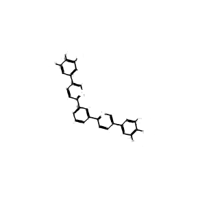 Cc1cc(-c2ccc(-c3cccc(-c4ccc(-c5cc(C)c(C)c(C)c5)cn4)c3)nc2)cc(C)c1C